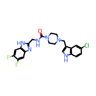 O=C(NCc1nc2cc(F)c(F)cc2[nH]1)N1CCN(Cc2c[nH]c3ccc(Cl)cc23)CC1